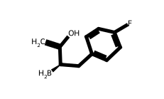 B[C@H](Cc1ccc(F)cc1)C(=C)O